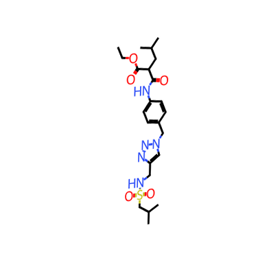 CCOC(=O)C(CC(C)C)C(=O)Nc1ccc(Cn2cc(CNS(=O)(=O)CC(C)C)nn2)cc1